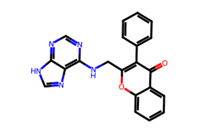 O=c1c(-c2ccccc2)c(CNc2ncnc3[nH]cnc23)oc2ccccc12